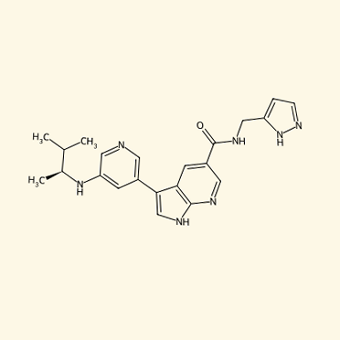 CC(C)[C@H](C)Nc1cncc(-c2c[nH]c3ncc(C(=O)NCc4ccn[nH]4)cc23)c1